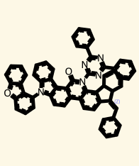 O=c1c2c(ccc3c2c2ccccc2n3-c2cccc3oc4ccccc4c23)c2ccc3c(c2n1-c1nc(-c2ccccc2)nc(-c2ccccc2)n1)C1C=CC=CC1/C3=C/c1ccccc1